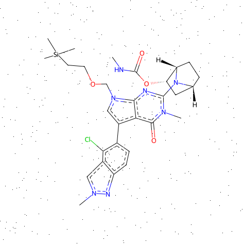 CNC(=O)O[C@H]1C[C@H]2CC[C@@H]1N2c1nc2c(c(-c3ccc4nn(C)cc4c3Cl)cn2COCC[Si](C)(C)C)c(=O)n1C